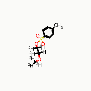 [2H]C([2H])([2H])OC([2H])([2H])C([2H])([2H])OS(=O)(=O)c1ccc(C)cc1